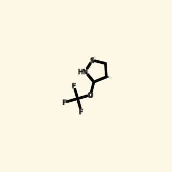 FC(F)(F)OC1[CH]CSN1